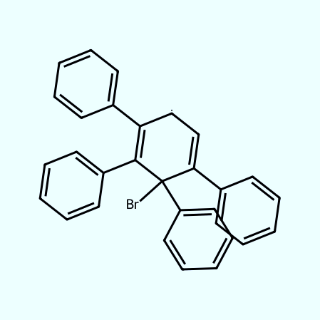 BrC1(c2ccccc2)C(c2ccccc2)=C[CH]C(c2ccccc2)=C1c1ccccc1